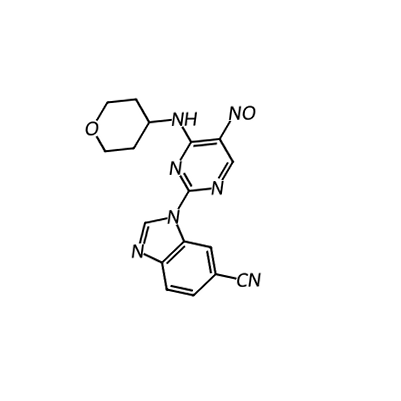 N#Cc1ccc2ncn(-c3ncc(N=O)c(NC4CCOCC4)n3)c2c1